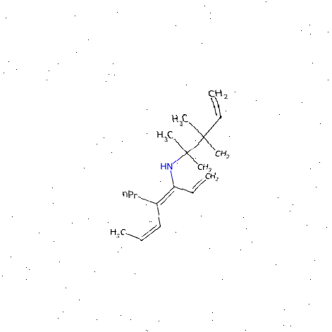 C=C/C(NC(C)(C)C(C)(C)C=C)=C(\C=C/C)CCC